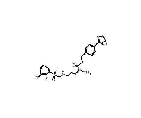 CN(CCCNCS(=O)(=O)c1cccc(Cl)c1Cl)C(=O)CCc1ccc(C2=NCCN2)cc1